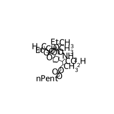 CCCCCOC(=O)OCC(C)C(c1ccc(OC(=O)OC(C)(C)CC)c(OC(=O)OC(C)(C)CC)c1)[C@H](N)C(=O)O